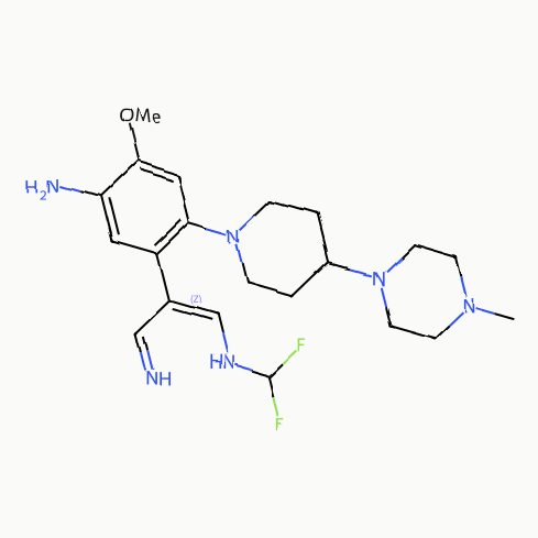 COc1cc(N2CCC(N3CCN(C)CC3)CC2)c(/C(C=N)=C/NC(F)F)cc1N